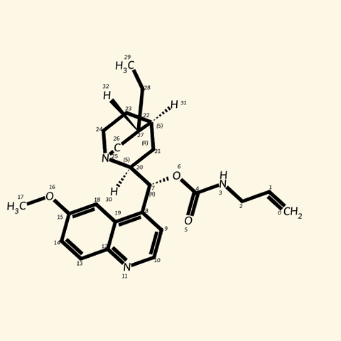 C=CCNC(=O)O[C@H](c1ccnc2ccc(OC)cc12)[C@@H]1C[C@@H]2CCN1C[C@@H]2CC